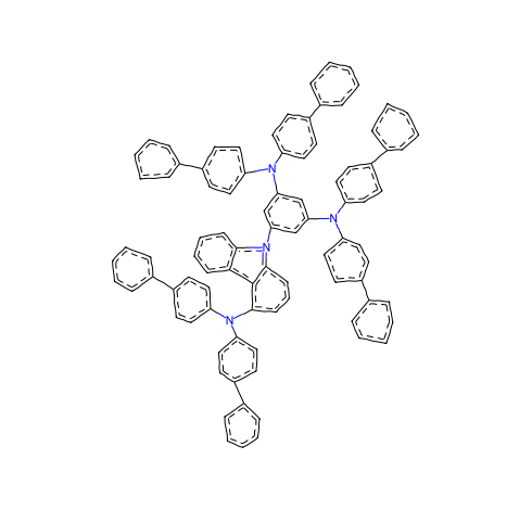 c1ccc(-c2ccc(N(c3ccc(-c4ccccc4)cc3)c3cc(N(c4ccc(-c5ccccc5)cc4)c4ccc(-c5ccccc5)cc4)cc(-n4c5ccccc5c5c(N(c6ccc(-c7ccccc7)cc6)c6ccc(-c7ccccc7)cc6)cccc54)c3)cc2)cc1